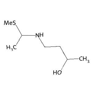 CSC(C)NCCC(C)O